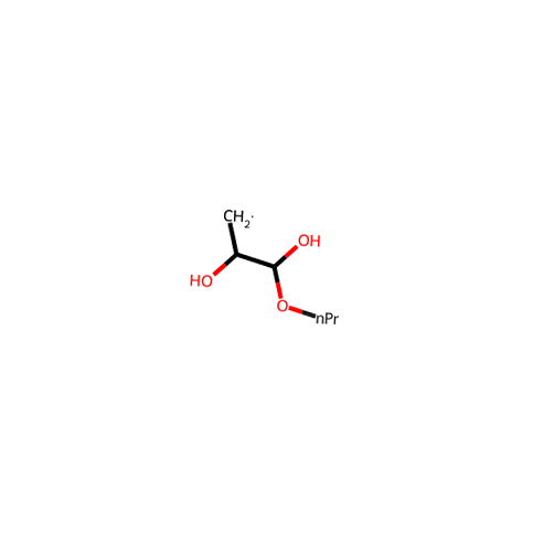 [CH2]C(O)C(O)OCCC